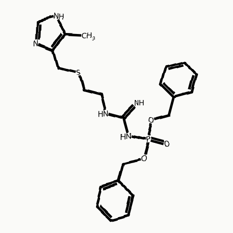 Cc1[nH]cnc1CSCCNC(=N)NP(=O)(OCc1ccccc1)OCc1ccccc1